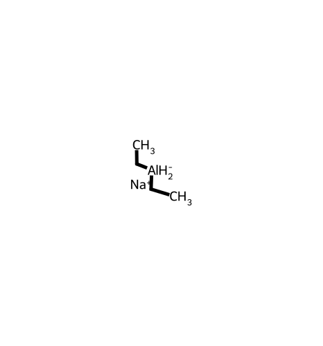 C[CH2][AlH2-][CH2]C.[Na+]